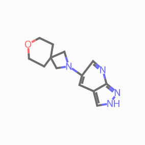 c1nc2n[nH]cc2cc1N1CC2(CCOCC2)C1